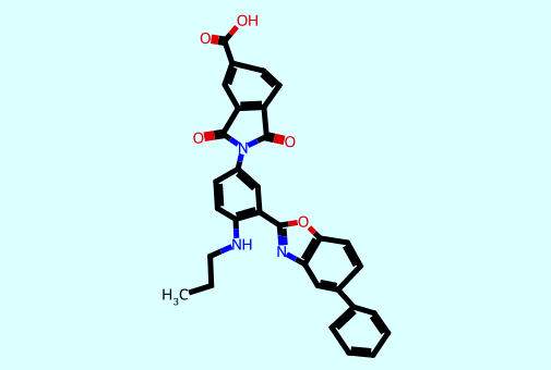 CCCNc1ccc(N2C(=O)c3ccc(C(=O)O)cc3C2=O)cc1-c1nc2cc(-c3ccccc3)ccc2o1